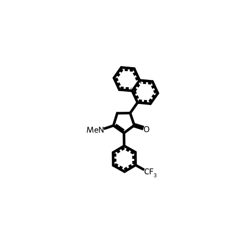 CNC1=C(c2cccc(C(F)(F)F)c2)C(=O)C(c2cccc3ccccc23)C1